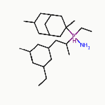 CCC1CC(C)CC(CC(C)[PH](N)(CC)C2(C)CC3CC(C)CC(C3)C2)C1